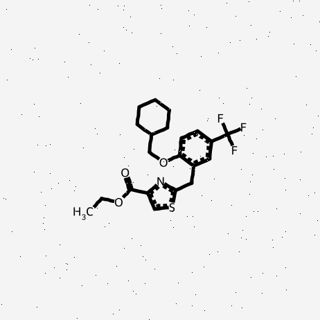 CCOC(=O)c1csc(Cc2cc(C(F)(F)F)ccc2OCC2CCCCC2)n1